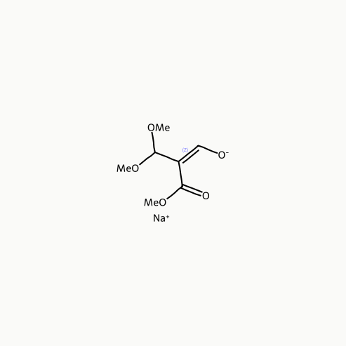 COC(=O)/C(=C\[O-])C(OC)OC.[Na+]